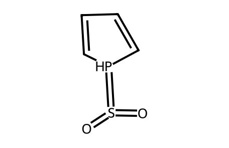 O=S(=O)=[PH]1C=CC=C1